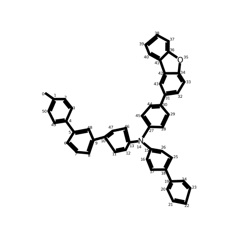 Cc1ccc(-c2cccc(-c3ccc(N(c4ccc(-c5ccccc5)cc4)c4ccc(-c5ccc6oc7ccccc7c6c5)cc4)cc3)c2)cc1